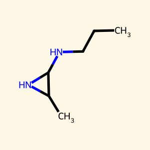 CCCNC1NC1C